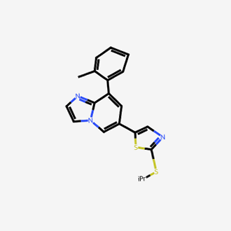 Cc1ccccc1-c1cc(-c2cnc(SC(C)C)s2)cn2ccnc12